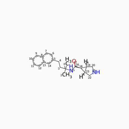 CC(C)(CCc1ccc2ccccc2c1)NC(=O)[C@H]1[C@@H]2CNC[C@@H]21